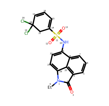 CCN1C(=O)c2cccc3c(NS(=O)(=O)C4=CC=CC(Cl)(Cl)C4)ccc1c23